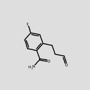 NC(=O)c1ccc(F)cc1CCC=O